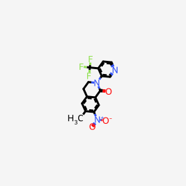 Cc1cc2c(cc1[N+](=O)[O-])C(=O)N(c1cnccc1C(F)(F)F)CC2